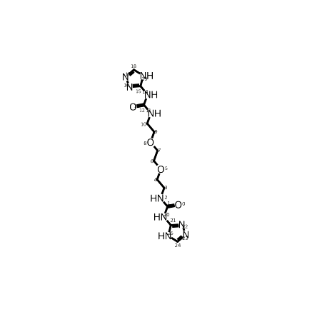 O=C(NCCOCCOCCNC(=O)Nc1nnc[nH]1)Nc1nnc[nH]1